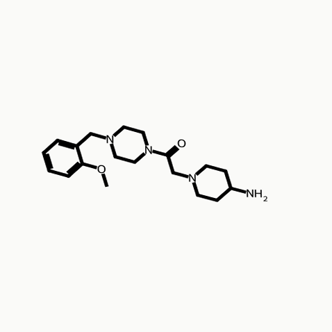 COc1ccccc1CN1CCN(C(=O)CN2CCC(N)CC2)CC1